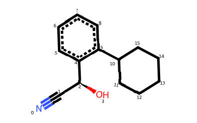 N#C[C@H](O)c1ccccc1C1CCCCC1